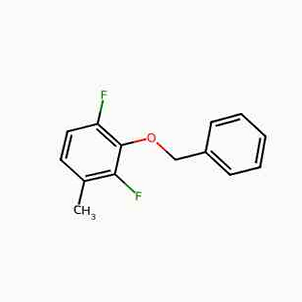 Cc1ccc(F)c(OCc2ccccc2)c1F